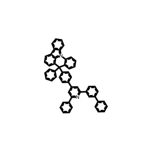 c1ccc(-c2cccc(-c3cc(-c4ccc(C5(c6ccccc6)c6ccccc6-n6c7ccccc7c7cccc5c76)cc4)cc(-c4ccccc4)n3)c2)cc1